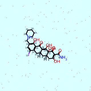 NC(=O)C1=C(O)C[C@@H]2C[C@@H]3Cc4c(I)cc(CN5CCCCC5)c(O)c4C(=O)C3=C(O)[C@]2(O)C1=O